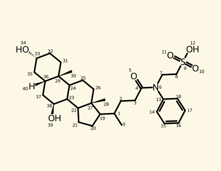 CC(CCC(=O)N(CCS(=O)(=O)O)c1ccccc1)C1CCC2C3C(CC[C@]12C)[C@@]1(C)CC[C@@H](O)C[C@H]1C[C@@H]3O